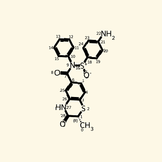 C[C@H]1Sc2ccc(C(=O)N(c3ccccc3)[S+]([O-])c3ccc(N)cc3)cc2NC1=O